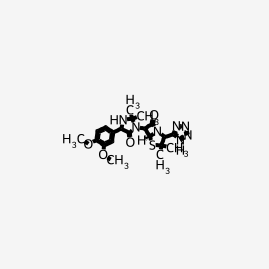 COc1ccc(C2NC(C)(C)N(C3C(=O)N4C(c5nnn[nH]5)C(C)(C)S[C@H]34)C2=O)cc1OC